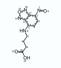 O=Nc1ccc(NCCCC(=O)O)c2nonc12